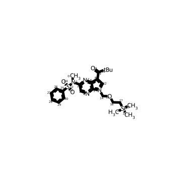 CN(c1cnc2c(n1)c(C(=O)C(C)(C)C)cn2COCC[Si](C)(C)C)S(=O)(=O)c1ccccc1